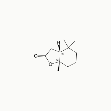 CC1(C)CCC[C@]2(C)OC(=O)C[C@H]12